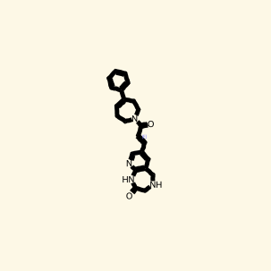 O=C1CNCc2cc(/C=C/C(=O)N3CCC=C(c4ccccc4)CC3)cnc2N1